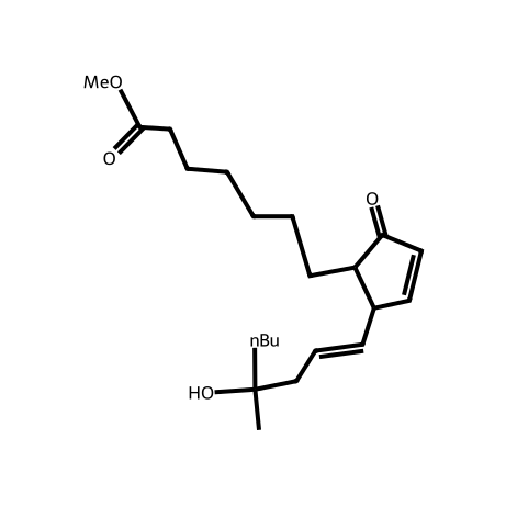 CCCCC(C)(O)C/C=C/C1C=CC(=O)C1CCCCCCC(=O)OC